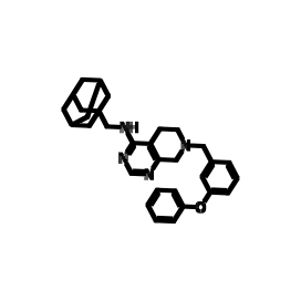 c1ccc(Oc2cccc(CN3CCc4c(ncnc4NCC45CC6CC(CC(C6)C4)C5)C3)c2)cc1